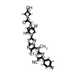 CCc1nc2sc(N3C[C@@H]4C[C@H]3CN4CC(=O)N3CC(O)C3)nn2c1N(C)c1nc(-c2ccc(F)cc2)c(C#N)s1